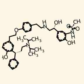 CC(C)N(CC[C@H](c1ccccc1)c1cc(CCOc2ccc(CCNC[C@H](O)c3ccc(O)c(NS(C)(=O)=O)c3)cc2)ccc1O)C(C)C